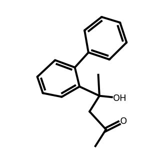 CC(=O)CC(C)(O)c1ccccc1-c1ccccc1